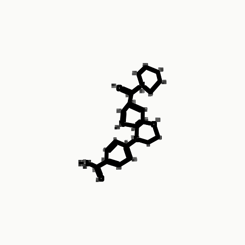 NC(=O)c1ccc(N2CCOc3cc(C(=O)N4CCCCC4)cnc32)cc1